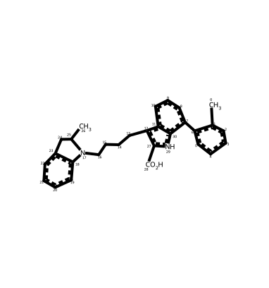 Cc1ccccc1-c1cccc2c(CCCCN3c4ccccc4CC3C)c(C(=O)O)[nH]c12